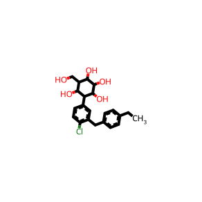 CCc1ccc(Cc2cc(C3C(O)C(O)C(O)C(CO)C3O)ccc2Cl)cc1